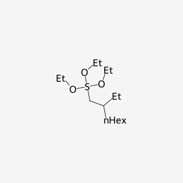 CCCCCCC(CC)CS(OCC)(OCC)OCC